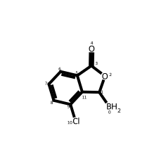 BC1OC(=O)c2cccc(Cl)c21